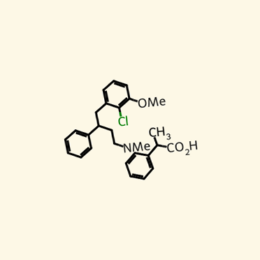 CC(C(=O)O)c1ccccc1.CNCCC(Cc1cccc(OC)c1Cl)c1ccccc1